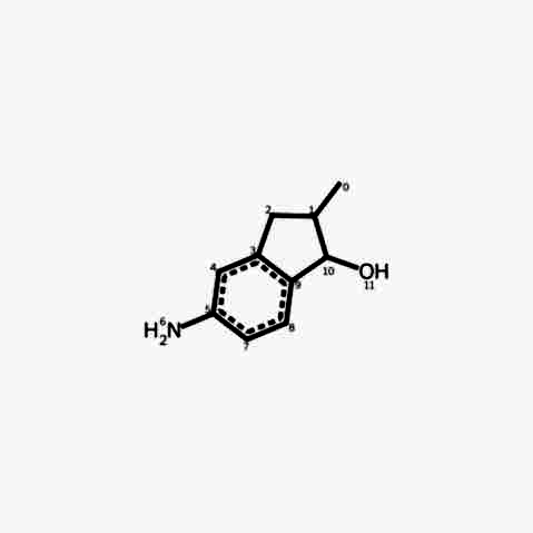 CC1Cc2cc(N)ccc2C1O